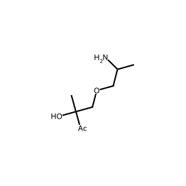 CC(=O)C(C)(O)COCC(C)N